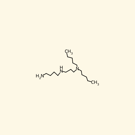 CCCCCN(CCCCC)CCCNCCCCN